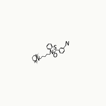 C[C@@H]1CCC[C@H](C)N1CCCCCN1C(=O)C(c2cccc(C#N)c2)Sc2ccccc21